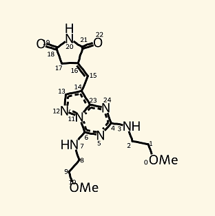 COCCNc1nc(NCCOC)n2ncc(/C=C3\CC(=O)NC3=O)c2n1